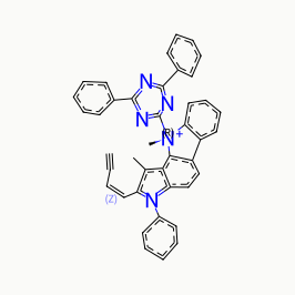 C#C/C=C\c1c(C)c2c3c(ccc2n1-c1ccccc1)-c1ccccc1[N@@+]3(C)c1nc(-c2ccccc2)nc(-c2ccccc2)n1